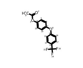 CC(=O)Oc1ccc(Oc2ccc(C(F)(F)F)cc2)cc1